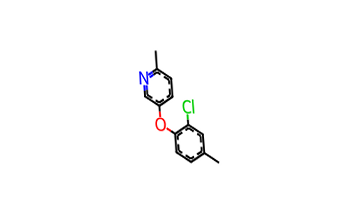 Cc1ccc(Oc2ccc(C)nc2)c(Cl)c1